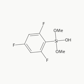 CO[Si](O)(OC)c1c(F)cc(F)cc1F